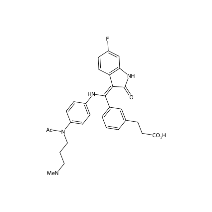 CNCCCN(C(C)=O)c1ccc(NC(=C2C(=O)Nc3cc(F)ccc32)c2cccc(CCC(=O)O)c2)cc1